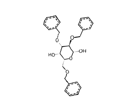 O[C@@H]1[C@H](OCc2ccccc2)[C@@H](OCc2ccccc2)[C@H](O)O[C@@H]1COCc1ccccc1